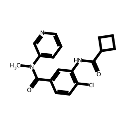 CN(C(=O)c1ccc(Cl)c(NC(=O)C2CCC2)c1)c1cccnc1